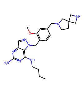 CCCCNc1nc(N)nc2cnn(Cc3ccc(CN4CCC5(CNC5)C4)cc3OC)c12